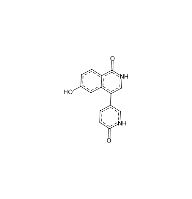 O=c1ccc(-c2c[nH]c(=O)c3ccc(O)cc23)c[nH]1